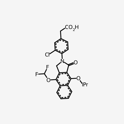 CC(C)Oc1c2c(c(OC(F)F)c3ccccc13)CN(c1ccc(CC(=O)O)cc1Cl)C2=O